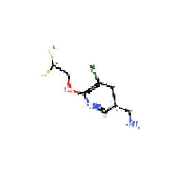 NC[C@H]1C=NC(OCC(F)F)=C(Cl)C1